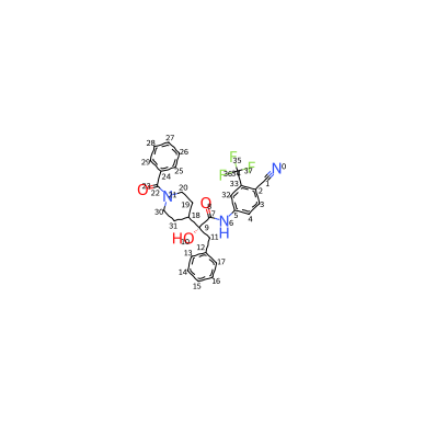 N#Cc1ccc(NC(=O)[C@@](O)(Cc2ccccc2)C2CCN(C(=O)c3ccccc3)CC2)cc1C(F)(F)F